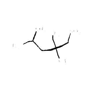 CC(CC(C)(C)C[N+](=O)[O-])C(=O)O